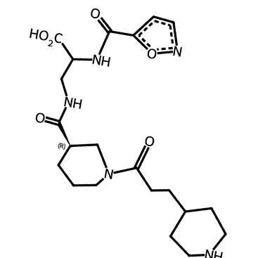 O=C(NC(CNC(=O)[C@@H]1CCCN(C(=O)CCC2CCNCC2)C1)C(=O)O)c1ccno1